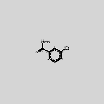 CCc1cccc(C(=S)NC)c1